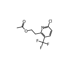 CC(=O)OCCc1nc(Cl)ccc1C(F)(F)F